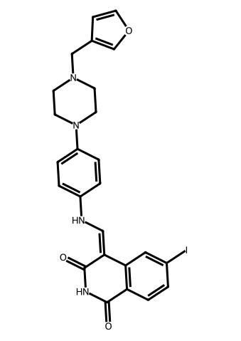 O=C1NC(=O)c2ccc(I)cc2C1=CNc1ccc(N2CCN(Cc3ccoc3)CC2)cc1